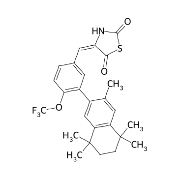 Cc1cc2c(cc1-c1cc(C=C3NC(=O)SC3=O)ccc1OC(F)(F)F)C(C)(C)CCC2(C)C